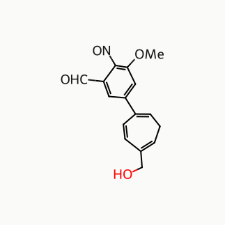 COc1cc(C2=CCC=C(CO)C=C2)cc(C=O)c1N=O